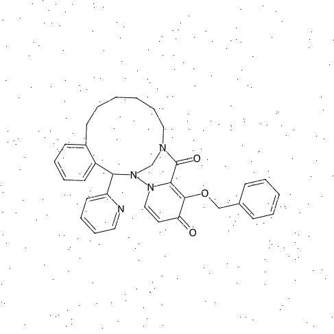 O=C1c2c(OCc3ccccc3)c(=O)ccn2N2CN1CCCCCCc1ccccc1C2c1ccccn1